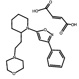 O=C(O)C=CC(=O)O.c1ccc(-c2cc(N3CCCCC3CCN3CCOCC3)on2)cc1